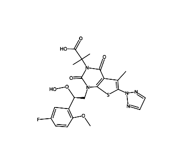 COc1ccc(F)cc1[C@H](Cn1c(=O)n(C(C)(C)C(=O)O)c(=O)c2c(C)c(-n3nccn3)sc21)OO